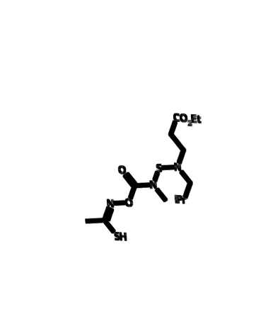 CCOC(=O)CCN(CC(C)C)SN(C)C(=O)ON=C(C)S